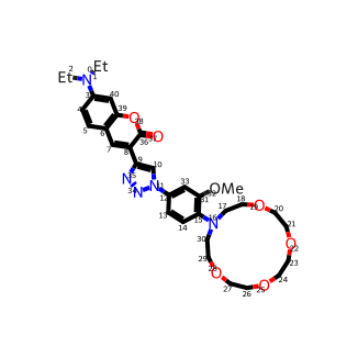 CCN(CC)c1ccc2cc(-c3cn(-c4ccc(N5CCOCCOCCOCCOCC5)c(OC)c4)nn3)c(=O)oc2c1